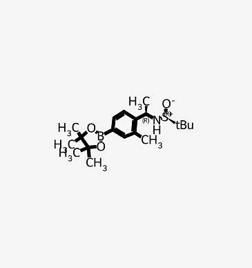 Cc1cc(B2OC(C)(C)C(C)(C)O2)ccc1[C@@H](C)N[S@@+]([O-])C(C)(C)C